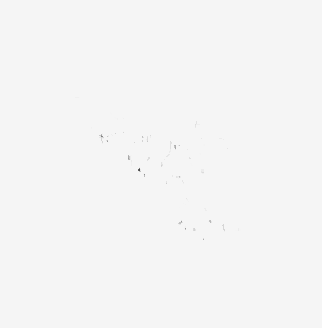 Fc1ccc(-c2nc(-c3cc(-c4cncc(F)c4)cc(C(F)F)n3)no2)nc1